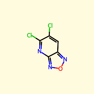 Clc1cc2nonc2nc1Cl